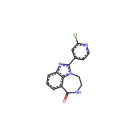 O=C1NCCn2c(-c3ccnc(Cl)c3)nc3cccc1c32